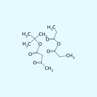 CC(=O)CC(=O)OC(C)(C)C.CCC(=O)OC(=O)CC